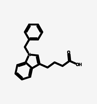 O=C(O)CCCc1cn(Cc2ccccc2)c2ccccc12